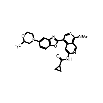 CNc1ncc(-c2nc3cc(N4CCOC(C(F)(F)F)C4)ccc3o2)c2cc(NC(=O)C3CC3)ncc12